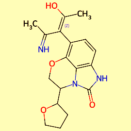 CC(=N)/C(=C(/C)O)c1ccc2[nH]c(=O)n3c2c1OCC3C1CCCO1